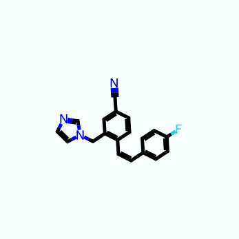 N#Cc1ccc(/C=C\c2ccc(F)cc2)c(Cn2ccnc2)c1